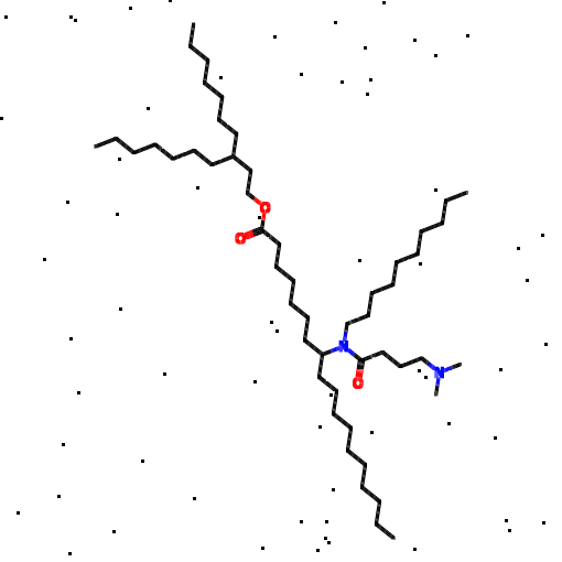 CCCCCCCCCCC(CCCCCCC(=O)OCCC(CCCCCCC)CCCCCCC)N(CCCCCCCCCC)C(=O)CCCN(C)C